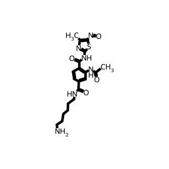 CC(=O)Nc1cc(C(=O)NCCCCCCN)ccc1C(=O)Nc1nc(C)c(N=O)s1